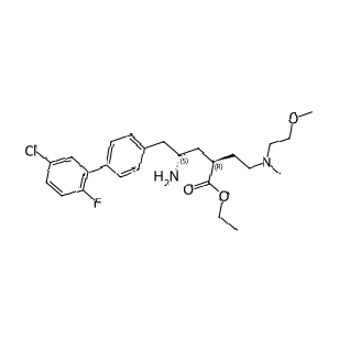 CCOC(=O)[C@H](CCN(C)CCOC)C[C@H](N)Cc1ccc(-c2cc(Cl)ccc2F)cc1